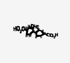 O=Cc1cc(C(=O)O)ccc1-c1ccc(C(=O)O)cc1